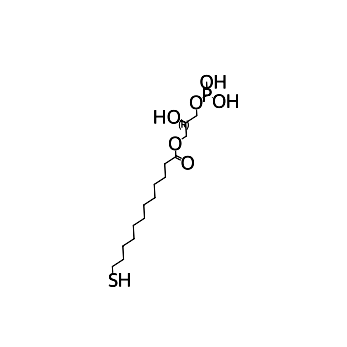 O=C(CCCCCCCCCCCS)OC[C@@H](O)COP(O)O